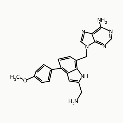 COc1ccc(-c2ccc(Cn3cnc4c(N)ncnc43)c3[nH]c(CN)cc23)cc1